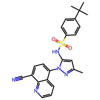 Cc1cc(NS(=O)(=O)c2ccc(C(C)(C)C)cc2)n(-c2ccc(C#N)c3ncccc23)n1